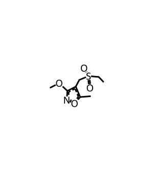 CCS(=O)(=O)Cc1c(OC)noc1C